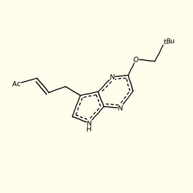 CC(=O)C=CCc1c[nH]c2ncc(OCC(C)(C)C)nc12